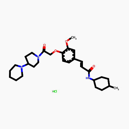 COc1cc(C=CC(=O)NC2CCC(C)CC2)ccc1OCC(=O)N1CCC(N2CCCCC2)CC1.Cl